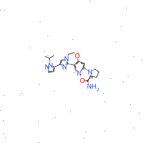 CC(C)n1nccc1-c1cn2c(n1)-c1cnc(N3CCC[C@H]3C(N)=O)cc1OCC2